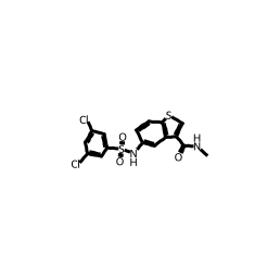 CNC(=O)c1csc2ccc(NS(=O)(=O)c3cc(Cl)cc(Cl)c3)cc12